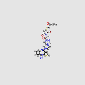 CNC(=O)CSC1CC(=O)N(CC(=O)NCC2CN(C3=Nc4ccccc4Nc4sc(C)cc43)CCN2C)C1=O